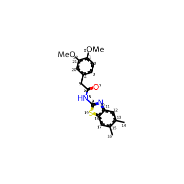 COc1ccc(CC(=O)Nc2nc3cc(C)c(C)cc3s2)cc1OC